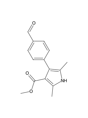 COC(=O)c1c(C)[nH]c(C)c1-c1ccc(C=O)cc1